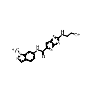 Cn1ncc2ccc(NC(=O)c3cc4sc(NCCO)nc4s3)cc21